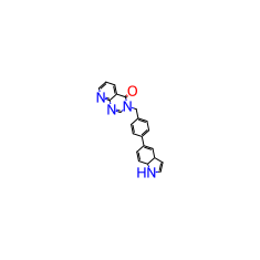 O=c1c2cccnc2ncn1Cc1ccc(C2=CC3C=CNC3C=C2)cc1